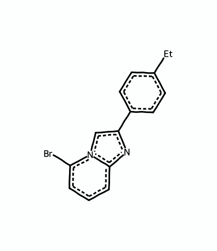 CCc1ccc(-c2cn3c(Br)cccc3n2)cc1